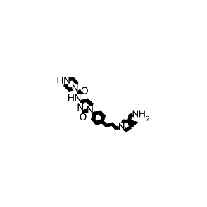 NCC12CC1CN(CCCc1ccc(-n3ccc(NC(=O)N4CCNCC4)nc3=O)cc1)C2